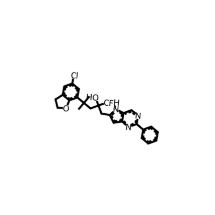 CC(C)(CC(O)(Cc1cc2nc(-c3ccccc3)ncc2[nH]1)C(F)(F)F)c1cc(Cl)cc2c1OCC2